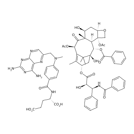 CC(=O)O[C@H]1C(=O)[C@@]2(C)[C@H]([C@H](OC(=O)c3ccccc3)[C@]3(O)C[C@H](OC(=O)[C@H](O)[C@@H](NC(=O)c4ccccc4)c4ccccc4)C(C)=C1C3(C)C)[C@]1(OC(C)=O)CO[C@@H]1C[C@@H]2O.CN(Cc1cnc2nc(N)nc(N)c2n1)c1ccc(C(=O)N[C@@H](CCC(=O)O)C(=O)O)cc1